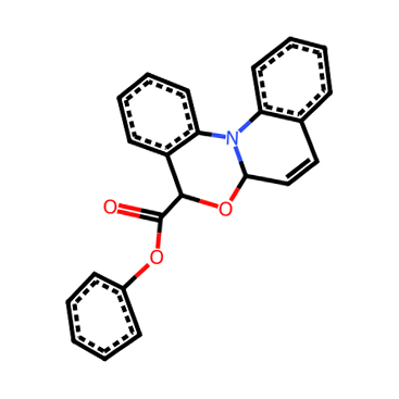 O=C(Oc1ccccc1)C1OC2C=Cc3ccccc3N2c2ccccc21